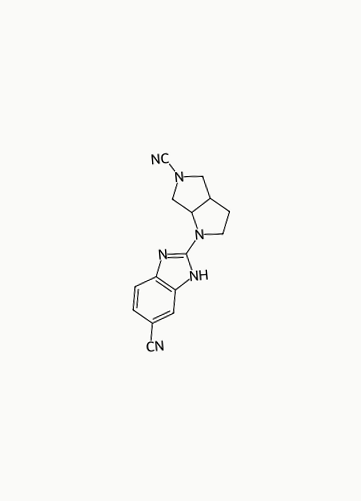 N#Cc1ccc2nc(N3CCC4CN(C#N)CC43)[nH]c2c1